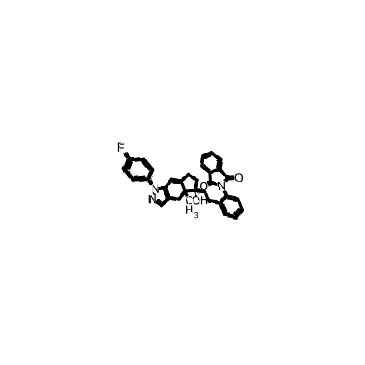 CC12Cc3cnn(-c4ccc(F)cc4)c3C=C1CC[C@@]2(O)CCc1ccccc1N1C(=O)c2ccccc2C1=O